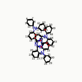 c1ccc(N(c2ccccc2)c2cccc(-c3nc(-c4ccccc4N(c4ccccc4)c4ccccc4)nc(-c4ccccc4N(c4ccccc4)c4ccccc4)n3)c2)cc1